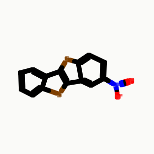 O=[N+]([O-])c1ccc2sc3c4ccccc4sc3c2c1